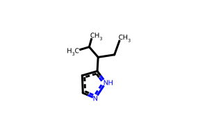 CCC(c1ccn[nH]1)C(C)C